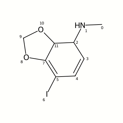 CNC1C=CC(I)=C2OCOC21